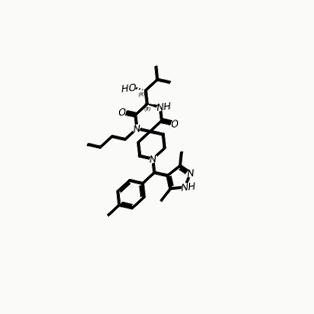 CCCCN1C(=O)[C@@H]([C@H](O)C(C)C)NC(=O)C12CCN(C(c1ccc(C)cc1)c1c(C)n[nH]c1C)CC2